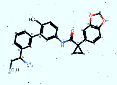 Cc1ccc(NC(=O)C2(c3ccc4c(c3)OCO4)CC2)cc1-c1cccc(C(N)CC(=O)O)c1